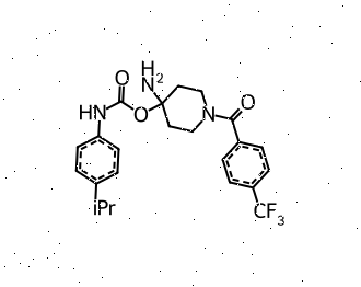 CC(C)c1ccc(NC(=O)OC2(N)CCN(C(=O)c3ccc(C(F)(F)F)cc3)CC2)cc1